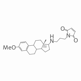 COc1ccc2c(c1)CCC1C2CC[C@]2(C)C(NCCCN3C(=O)C=CC3=O)CCC12